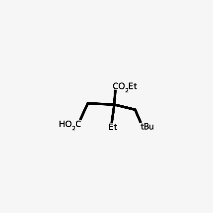 CCOC(=O)C(CC)(CC(=O)O)CC(C)(C)C